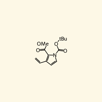 C=Cc1ccn(C(=O)OC(C)(C)C)c1C(=O)OC